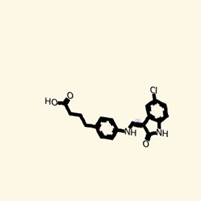 O=C(O)CCCc1ccc(N/C=C2\C(=O)Nc3ccc(Cl)cc32)cc1